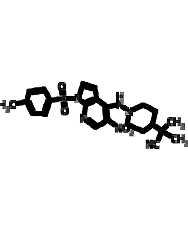 Cc1ccc(S(=O)(=O)n2ccc3c(NN4CCC(C(C)(C)C#N)CC4)c([N+](=O)[O-])cnc32)cc1